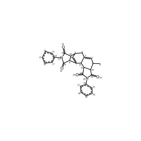 CC1C=C2CC3C=C(C4C(=O)N(c5ccccc5)C(=O)C34)C2C2C(=O)N(c3ccccc3)C(=O)C12